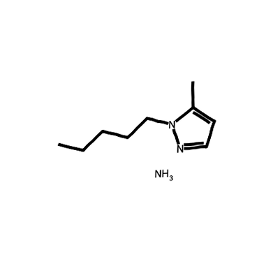 CCCCCn1nccc1C.N